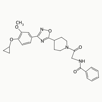 COc1cc(-c2noc(C3CCN(C(=O)CNC(=O)c4ccccc4)CC3)n2)ccc1OC1CC1